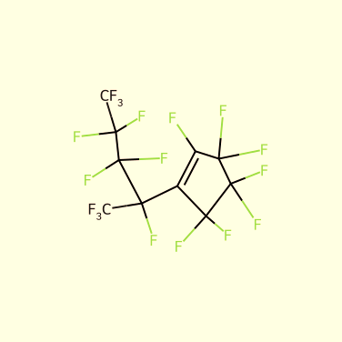 FC1=C(C(F)(C(F)(F)F)C(F)(F)C(F)(F)C(F)(F)F)C(F)(F)C(F)(F)C1(F)F